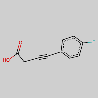 O=C(O)CC#Cc1ccc(F)cc1